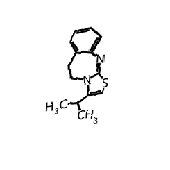 CC(C)C1=CSC2=Nc3ccccc3CCN12